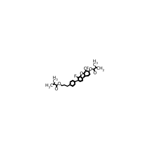 C=C(C)C(=O)OCCCc1ccc(-c2ccc3c(oc4c(C(F)(F)F)c(OC(=O)C(=C)C)ccc43)c2F)cc1